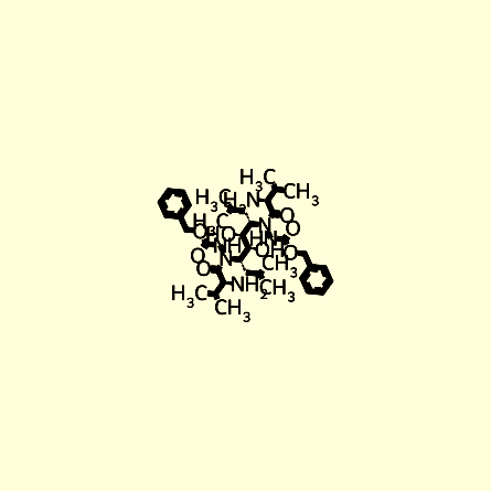 CC(C)C[C@@H]([C@@H](O)[C@H](O)[C@H](CC(C)C)N(NC(=O)OCc1ccccc1)C(=O)[C@@H](N)C(C)C)N(NC(=O)OCc1ccccc1)C(=O)[C@@H](N)C(C)C